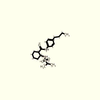 CCCCc1ccc(NC(=O)C2CCCCC2NS(=O)(=O)C(C)C)cc1